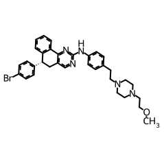 COCCN1CCN(CCc2ccc(Nc3ncc4c(n3)-c3ccccc3[C@@H](c3ccc(Br)cc3)C4)cc2)CC1